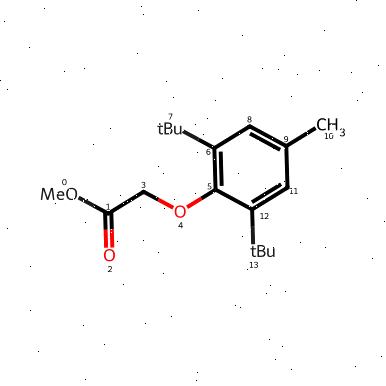 COC(=O)COc1c(C(C)(C)C)cc(C)cc1C(C)(C)C